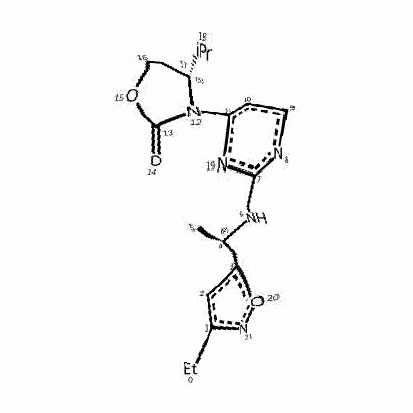 CCc1cc([C@@H](C)Nc2nccc(N3C(=O)OC[C@@H]3C(C)C)n2)on1